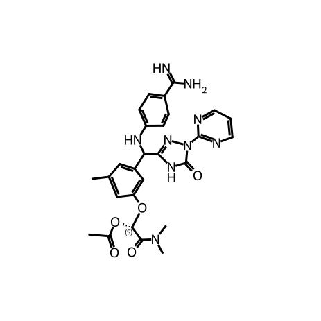 CC(=O)O[C@H](Oc1cc(C)cc(C(Nc2ccc(C(=N)N)cc2)c2nn(-c3ncccn3)c(=O)[nH]2)c1)C(=O)N(C)C